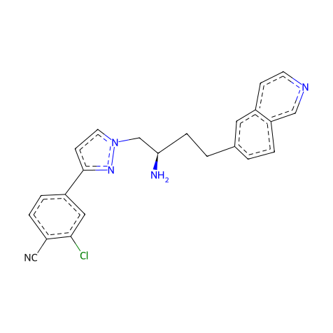 N#Cc1ccc(-c2ccn(C[C@H](N)CCc3ccc4cnccc4c3)n2)cc1Cl